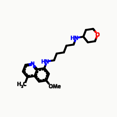 COc1cc(NCCCCCNC2CCOCC2)c2nccc(C)c2c1